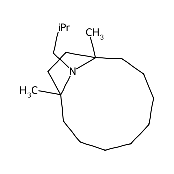 CC(C)CN1C2(C)CCCCCCCCC1(C)CC2